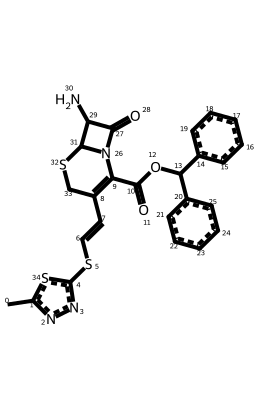 Cc1nnc(SC=CC2=C(C(=O)OC(c3ccccc3)c3ccccc3)N3C(=O)C(N)C3SC2)s1